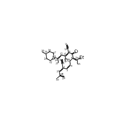 C#CC(/C=C\C/C(C(=O)/C(C#C)=C(/C=C(\C)N1CCC(C)CC1)CC)=C(\C)CC)=C/C(=C)C